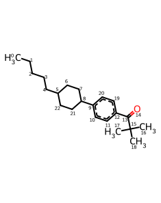 CCCCCC1CCC(c2ccc(C(=O)C(C)(C)C)cc2)CC1